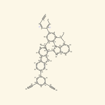 C#C/C=C\C(=C/C)c1cc(C(C)C)c(-n2c(-c3cccc4c3oc3cc(-c5cc(C#N)cc(C#N)c5)ccc34)nc3ccccc32)c(C(C)C)c1